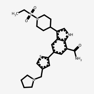 CCS(=O)(=O)N1CCC(c2c[nH]c3c(C(N)=O)cc(-c4cc(CN5CCCC5)cs4)cc23)CC1